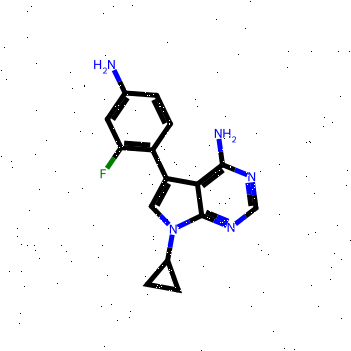 Nc1ccc(-c2cn(C3CC3)c3ncnc(N)c23)c(F)c1